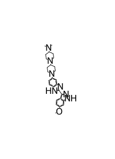 COc1ccc2c(-c3nc4cc(N5CCC(N6CCC(N(C)C)CC6)CC5)ccc4[nH]3)n[nH]c2c1